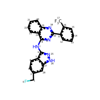 FCc1ccc2c(Nc3nc(-c4ccccc4C(F)(F)F)nc4ccccc34)n[nH]c2c1